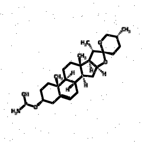 C[C@@H]1CC[C@@]2(OC1)O[C@H]1C[C@H]3[C@@H]4CC=C5C[C@@H](OP(N)O)CC[C@]5(C)[C@H]4CC[C@]3(C)[C@H]1[C@@H]2C